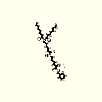 CCCCCCCC(=O)N(CCCCCC(=O)NCCCCC(N)C(=O)OCc1ccccc1)C(=O)CCCCCCC